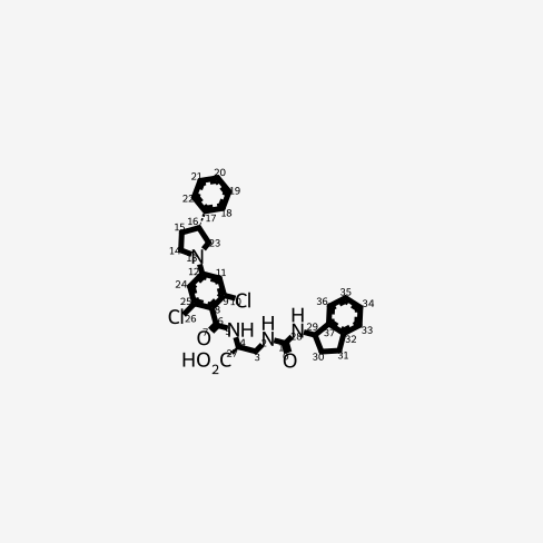 O=C(NC[C@H](NC(=O)c1c(Cl)cc(N2CC[C@H](c3ccccc3)C2)cc1Cl)C(=O)O)NC1CCc2ccccc21